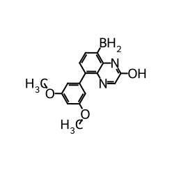 Bc1ccc(-c2cc(OC)cc(OC)c2)c2ncc(O)nc12